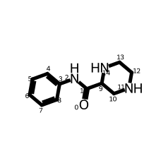 O=C(Nc1ccccc1)C1CNCCN1